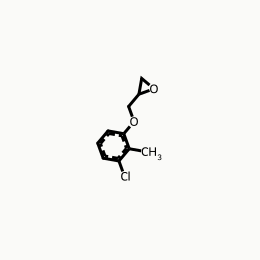 Cc1c(Cl)cccc1OCC1CO1